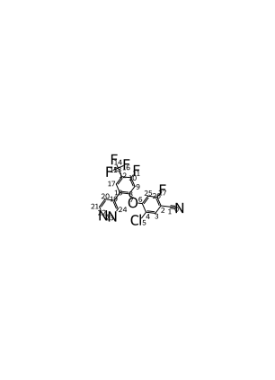 N#Cc1cc(Cl)c(Oc2cc(F)c(C(F)(F)F)cc2-c2ccnnc2)cc1F